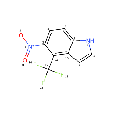 O=[N+]([O-])c1ccc2[nH]ccc2c1C(F)(F)F